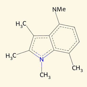 CNc1ccc(C)c2c1c(C)c(C)n2C